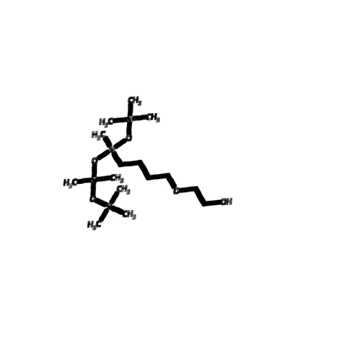 C[Si](C)(C)O[Si](C)(C)O[Si](C)(CCCCOCCO)O[Si](C)(C)C